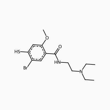 CCN(CC)CCNC(=O)c1cc(Br)c(S)cc1OC